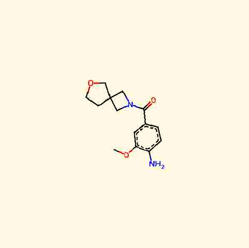 COc1cc(C(=O)N2CC3(CCOC3)C2)ccc1N